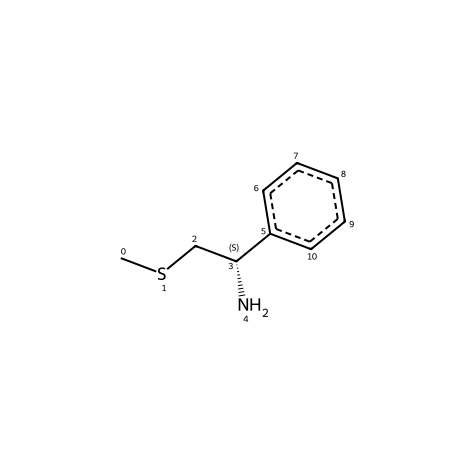 CSC[C@@H](N)c1ccccc1